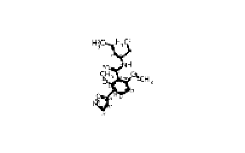 CCCC(CC)NC(=O)c1c(OC)ccc(-c2ccno2)c1OC